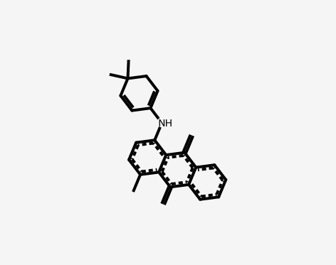 C=c1c2ccccc2c(=C)c2c(NC3=CCC(C)(C)C=C3)ccc(C)c12